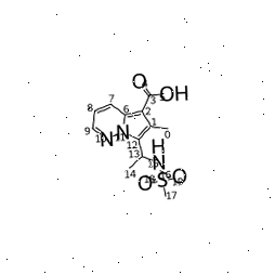 Cc1c(C(=O)O)c2cccnn2c1C(C)NS(C)(=O)=O